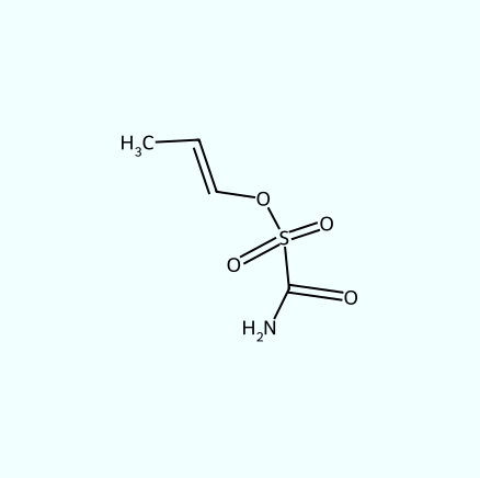 CC=COS(=O)(=O)C(N)=O